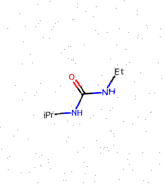 [CH2]CNC(=O)NC(C)C